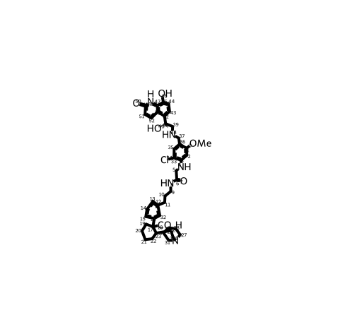 COc1cc(NCC(=O)NCCCc2cccc(C3(C(=O)O)CCCCC3C3CN4CCC3CC4)c2)c(Cl)cc1CNC[C@H](O)c1ccc(O)c2[nH]c(=O)ccc12